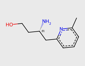 Cc1cccc(C[C@@H](N)CCO)n1